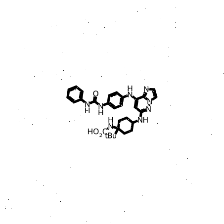 CC(C)(C)C1(NC(=O)O)CCC(Nc2cc(Nc3ccc(NC(=O)Nc4ccccc4)cc3)c3nccn3n2)CC1